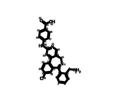 NCc1ccccc1C1=NCc2cnc(Nc3ccc(C(=O)O)cc3)nc2-c2ccc(Cl)cc21